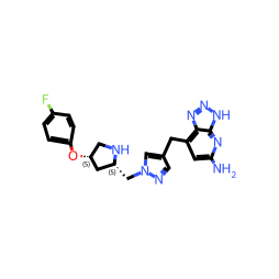 Nc1cc(Cc2cnn(C[C@@H]3C[C@H](Oc4ccc(F)cc4)CN3)c2)c2nn[nH]c2n1